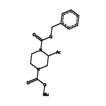 CC(=O)C1CN(C(=O)OC(C)(C)C)CCN1C(=O)OCc1ccccc1